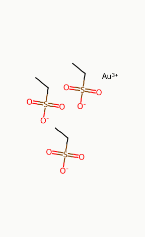 CCS(=O)(=O)[O-].CCS(=O)(=O)[O-].CCS(=O)(=O)[O-].[Au+3]